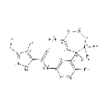 CCc1n[nH]c(C(=O)Nc2ccc(F)c(C3(C)N=C(N)COCC3(F)F)c2)c1C